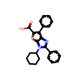 O=C(O)c1sc2c(nc(-c3ccccc3)n2C2CCCCC2)c1-c1ccccc1